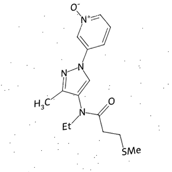 CCN(C(=O)CCSC)c1cn(-c2ccc[n+]([O-])c2)nc1C